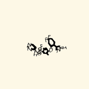 Cc1cc(S(=O)(=O)Nc2ccncn2)c(F)cc1OC1CC(F)(F)CCC1c1cn[nH]c1